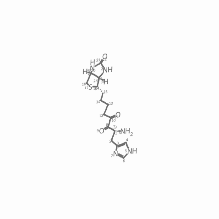 N[C@@H](Cc1c[nH]cn1)C(=O)C(=O)CCCC[C@@H]1SC[C@@H]2NC(=O)N[C@@H]21